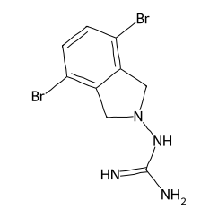 N=C(N)NN1Cc2c(Br)ccc(Br)c2C1